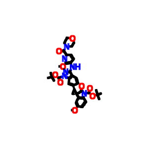 COc1ccc2c(c1)[C@]1(C[C@H]1c1ccc3c(Nc4ccc(C(=O)N5CCOCC5)nc4OC)nn(C(=O)OC(C)(C)C)c3c1)C(=O)N2C(=O)OC(C)(C)C